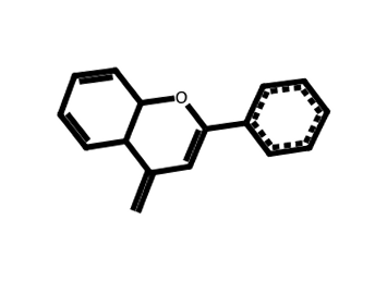 C=C1C=C(c2ccccc2)OC2C=CC=CC12